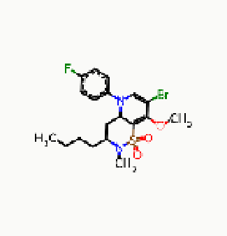 CCCCC1CC2C(=C(OC)C(Br)=CN2c2ccc(F)cc2)S(=O)(=O)N1C